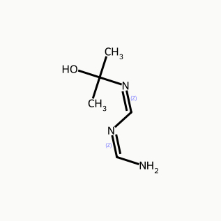 CC(C)(O)/N=C\N=C/N